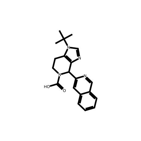 CC(C)(C)n1cnc2c1CCN(C(=O)O)C2c1cc2ccccc2cn1